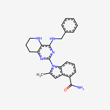 Cc1cc2c(C(N)=O)cccc2n1-c1nc2c(c(NCc3ccccc3)n1)NCCC2